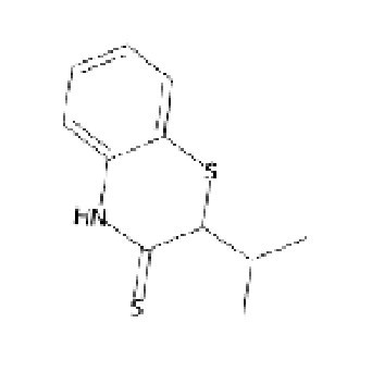 CC(C)C1Sc2ccccc2NC1=S